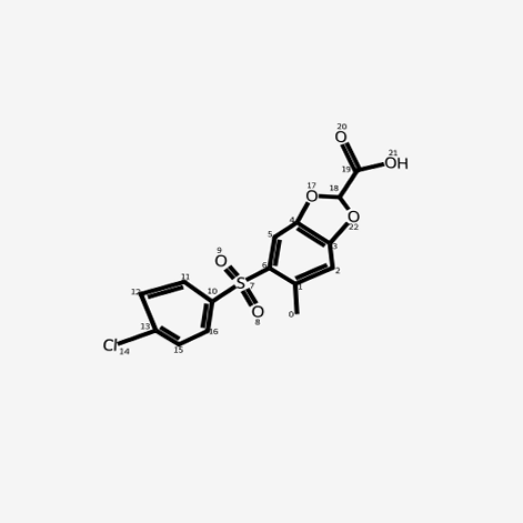 Cc1cc2c(cc1S(=O)(=O)c1ccc(Cl)cc1)OC(C(=O)O)O2